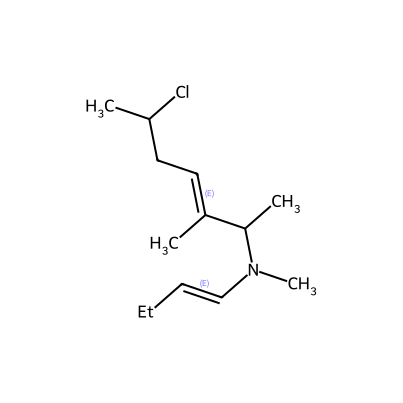 CC/C=C/N(C)C(C)/C(C)=C/CC(C)Cl